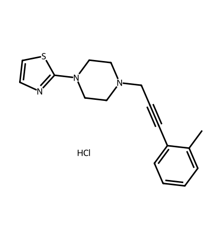 Cc1ccccc1C#CCN1CCN(c2nccs2)CC1.Cl